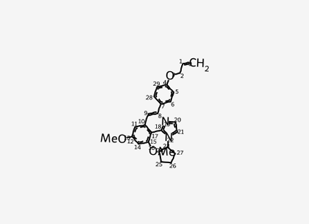 C=CCOc1ccc(C=Cc2cc(OC)cc(OC)c2-c2nccn2C2CCCC2)cc1